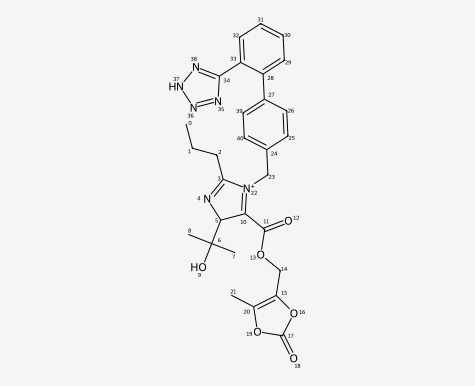 CCCC1=NC(C(C)(C)O)C(C(=O)OCc2oc(=O)oc2C)=[N+]1Cc1ccc(-c2ccccc2-c2nn[nH]n2)cc1